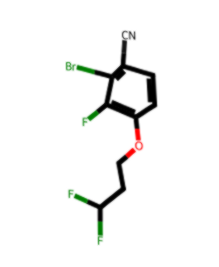 N#Cc1ccc(OCCC(F)F)c(F)c1Br